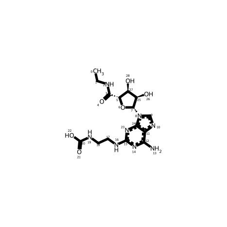 CCNC(=O)[C@H]1O[C@@H](n2cnc3c(N)nc(NCCNC(=O)O)nc32)[C@H](O)[C@@H]1O